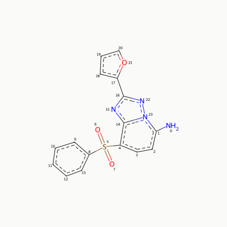 Nc1ccc(S(=O)(=O)c2ccccc2)c2nc(-c3ccco3)nn12